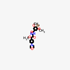 COc1cc(-c2nc(C(=O)C(OC)c3ccc(N4CCOCC4)cc3)no2)cc(OC)c1Br